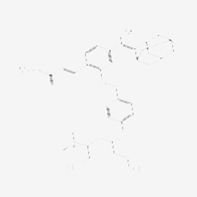 COC(=O)/C=C/c1ccc(C(OC)=C2C3CC4CC(C3)CC2C4)cc1OCc1ccc(OC(OC(CO)[C@@H](C)O)[C@@H](O)CO)cc1